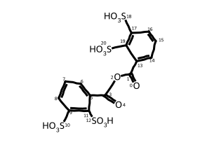 O=C(OC(=O)c1cccc(S(=O)(=O)O)c1S(=O)(=O)O)c1cccc(S(=O)(=O)O)c1S(=O)(=O)O